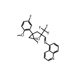 COc1ccc(F)cc1C1(CC(O)(C=Nc2cccc3ncccc23)C(F)(F)F)CC1I